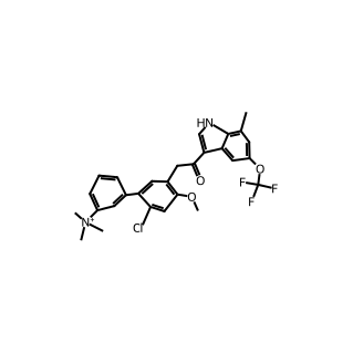 COc1cc(Cl)c(-c2cccc([N+](C)(C)C)c2)cc1CC(=O)c1c[nH]c2c(C)cc(OC(F)(F)F)cc12